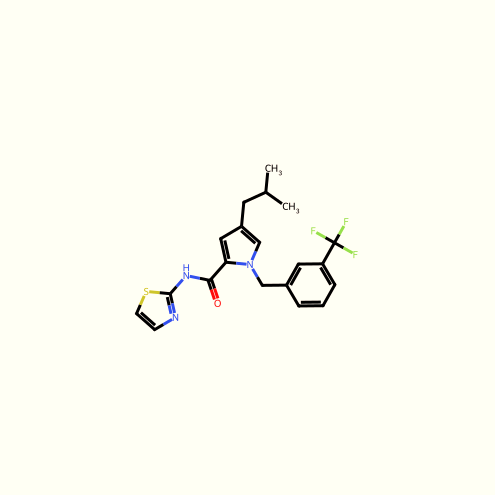 CC(C)Cc1cc(C(=O)Nc2nccs2)n(Cc2cccc(C(F)(F)F)c2)c1